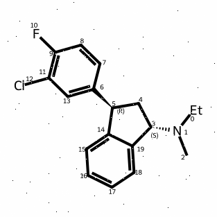 CCN(C)[C@H]1C[C@H](c2ccc(F)c(Cl)c2)c2ccccc21